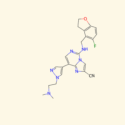 CN(C)CCn1cc(-c2cnc(NCc3c(F)ccc4c3CCO4)n3cc(C#N)nc23)cn1